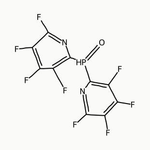 O=[PH](c1nc(F)c(F)c(F)c1F)c1nc(F)c(F)c(F)c1F